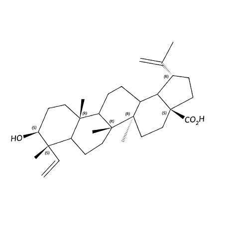 C=C[C@@]1(C)C2CC[C@]3(C)C(CCC4C5[C@H](C(=C)C)CC[C@]5(C(=O)O)CC[C@]43C)[C@@]2(C)CC[C@@H]1O